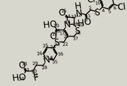 O=C(CSc1cc(Cl)ccc1Cl)N[C@H]1C(=O)N2C(C(=O)O)=C(CSc3cc[n+](CCC(F)C(=O)O)cc3)CS[C@H]12